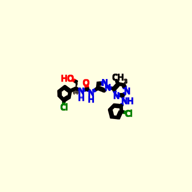 Cc1cnc(Nc2ccccc2Cl)nc1-n1cc(NC(=O)N[C@@H](CO)c2cccc(Cl)c2)cn1